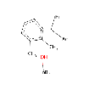 CC(=O)CC(C)C.CCCCO.Cc1ccccc1C